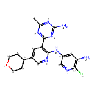 Cc1nc(N)nc(-c2cc(C3CCOCC3)cnc2Nc2cnc(Cl)c(N)c2)n1